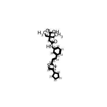 CCC(CC)(CC(=O)Nc1cccc(C=Cc2nc(C3CCCC3)cs2)c1)C(=O)O